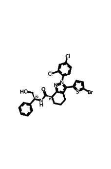 O=C(N[C@H](CO)c1ccccc1)[C@@H]1CCCc2c1nn(-c1ccc(Cl)cc1Cl)c2-c1ccc(Br)s1